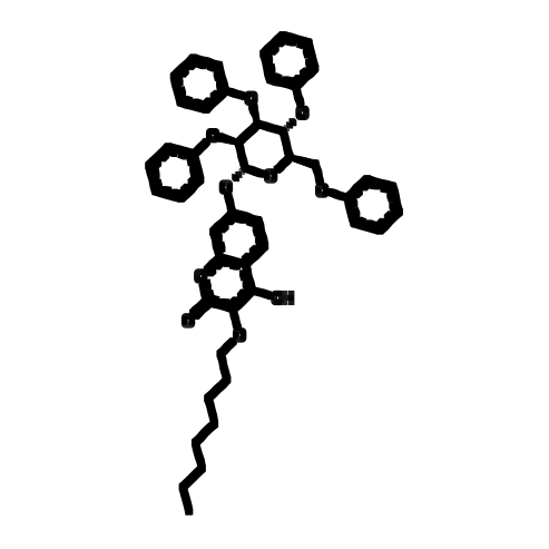 CCCCCCCCOc1c(O)c2ccc(O[C@H]3O[C@H](COc4ccccc4)[C@@H](Oc4ccccc4)[C@H](Oc4ccccc4)[C@@H]3Oc3ccccc3)cc2oc1=O